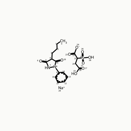 CCCCC1C(=O)NN(c2ccccc2)C1=O.O=C(O)CC(C(=O)[O-])S(=O)(=O)O.[Na+]